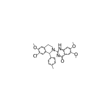 COc1cc2c(cc1Cl)C(c1ccc(C)cc1)N(c1nc(=O)c3cc(OC)c(OC)cc3[nH]1)CC2